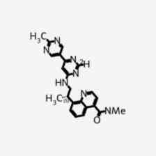 [2H]c1nc(NC[C@@H](C)c2cccc3c(C(=O)NC)ccnc23)cc(-c2cnc(C)nc2)n1